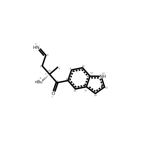 CCCC[C@@](C)(CC=N)C(=O)c1ccc2[nH]ccc2c1